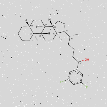 C[C@H](CCCC(O)c1cc(F)cc(F)c1)[C@H]1CC[C@H]2[C@@H]3CC[C@H]4CCCC[C@]4(C)[C@H]3CC[C@]12C